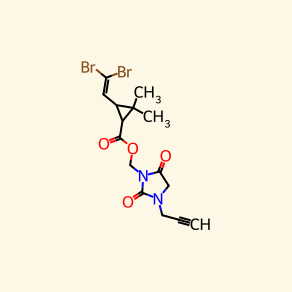 C#CCN1CC(=O)N(COC(=O)C2C(C=C(Br)Br)C2(C)C)C1=O